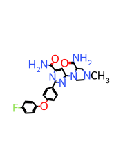 CN1CCN(c2cc(C(N)=O)nc(-c3ccc(Oc4ccc(F)cc4)cc3)n2)C(C(N)=O)C1